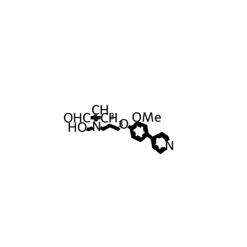 COc1cc(-c2ccncc2)ccc1OCCCN(CO)C(C)(C)C=O